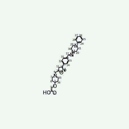 O=C(O)COC1CCN(CC2CC(c3ccc(/C=N/N4CCN(c5ccccc5)CC4)cc3)=NO2)CC1